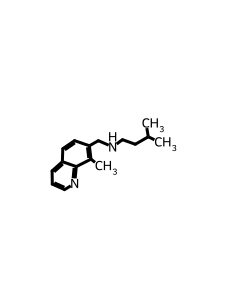 Cc1c(CNCCC(C)C)ccc2cccnc12